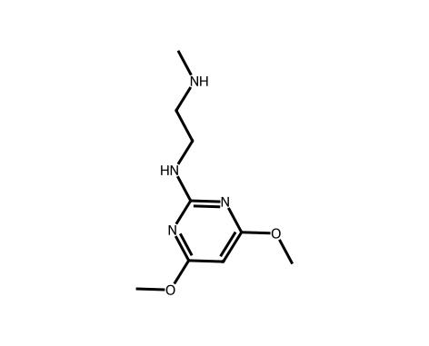 CNCCNc1nc(OC)cc(OC)n1